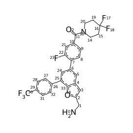 NCc1cc2cc(-c3ccc(C(=O)N4CCC(F)(F)CC4)cc3F)cc(-c3ccc(C(F)(F)F)cc3)c2o1